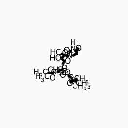 C#C[C@@]1(O)C(O)C(COP(=O)(OCOC(=O)C(C)(C)C)OCOC(=O)C(C)(C)C)O[C@H]1n1ccc(=O)[nH]c1=O